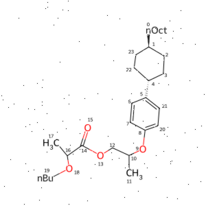 CCCCCCCC[C@H]1CC[C@H](c2ccc(OC(C)COC(=O)C(C)OCCCC)cc2)CC1